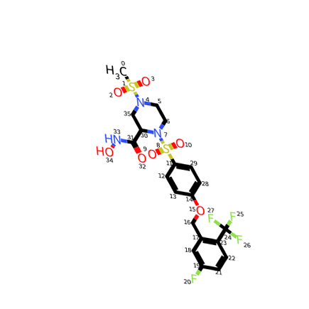 CS(=O)(=O)N1CCN(S(=O)(=O)c2ccc(OCc3cc(F)ccc3C(F)(F)F)cc2)C(C(=O)NO)C1